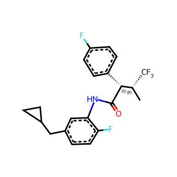 C[C@H]([C@H](C(=O)Nc1cc(CC2CC2)ccc1F)c1ccc(F)cc1)C(F)(F)F